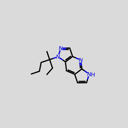 CCCC(C)(CC)n1ncc2nc3[nH]ccc3cc21